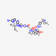 Cc1ncsc1-c1ccc(CNC(=O)[C@@H]2C[C@@H](O)CN2C(=O)[C@@H](NC(=O)CCCC(=O)N2CCN(c3nnc(-c4cnc(-c5ccc6cc(C#N)cnn56)cc4NC(C)C)s3)CC2)C(C)(C)C)cc1